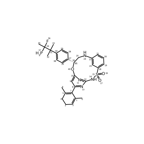 CC1=CCCC(C)=C1c1cc2nc(n1)NS(=O)(=O)c1cccc(c1)NC[C@@H](c1ccc(C(C)(C)C(C)(F)P)cc1)O2